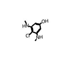 CNc1cc(O)cc(NC)c1Cl